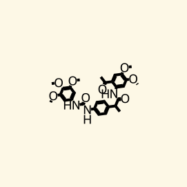 COc1cc(NC(=O)C(C)c2ccc(NC(=O)Nc3cc(OC)c(OC)c(OC)c3)cc2)c(C(C)=O)cc1OC